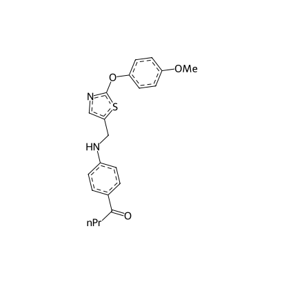 CCCC(=O)c1ccc(NCc2cnc(Oc3ccc(OC)cc3)s2)cc1